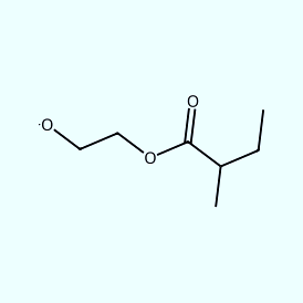 CCC(C)C(=O)OCC[O]